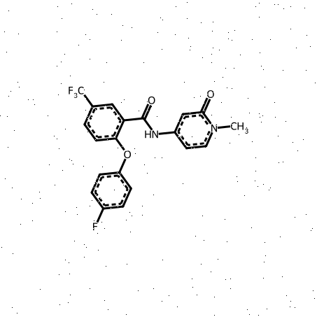 Cn1ccc(NC(=O)c2cc(C(F)(F)F)ccc2Oc2ccc(F)cc2)cc1=O